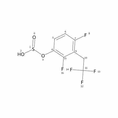 O=S(O)Oc1ccc(F)c(CC(F)(F)F)c1F